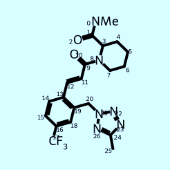 CNC(=O)C1CCCCN1C(=O)C=Cc1ccc(C(F)(F)F)cc1Cn1nnc(C)n1